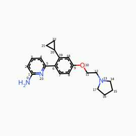 Nc1cccc(-c2ccc(OCCN3CCCC3)cc2C2CC2)n1